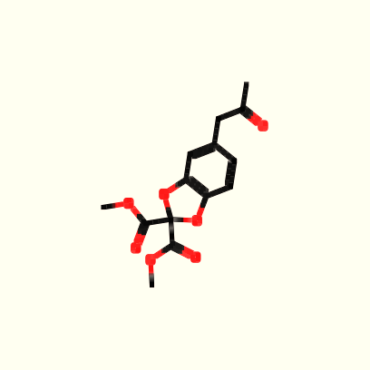 COC(=O)C1(C(=O)OC)Oc2ccc(CC(C)=O)cc2O1